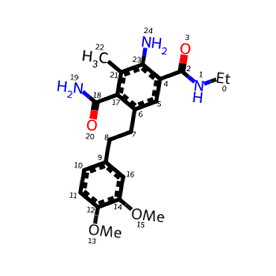 CCNC(=O)c1cc(CCc2ccc(OC)c(OC)c2)c(C(N)=O)c(C)c1N